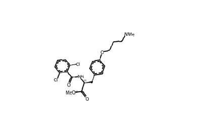 CNCCCOc1ccc(C[C@H](NC(=O)c2c(Cl)cccc2Cl)C(=O)OC)cc1